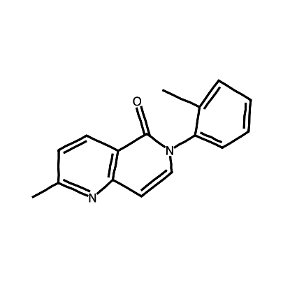 Cc1ccc2c(=O)n(-c3ccccc3C)ccc2n1